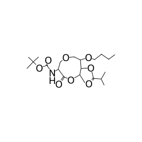 CCCCOC1COCC(NC(=O)OC(C)(C)C)C(=O)OC(C)C1OC(=O)C(C)C